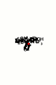 C[C@@](O)(c1ccc(N2CCN(S(=O)(=O)c3cccs3)C[C@@H]2CN2C3COCC2CC(O)C3)cc1)C(F)(F)F